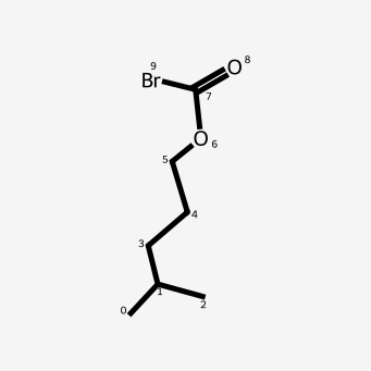 CC(C)CCCOC(=O)Br